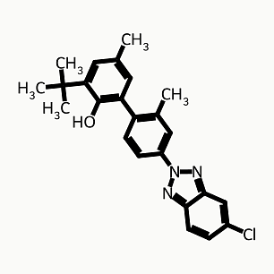 Cc1cc(-c2ccc(-n3nc4ccc(Cl)cc4n3)cc2C)c(O)c(C(C)(C)C)c1